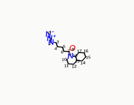 [N-]=[N+]=NCCCCC(=O)N1CCCC2CCCCC21